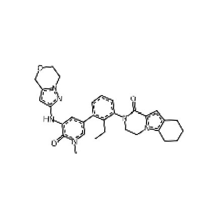 CCc1c(-c2cc(Nc3cc4n(n3)CCOC4)c(=O)n(C)c2)cccc1N1CCn2c(cc3c2CCCC3)C1=O